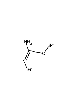 CC(C)N=C(N)OC(C)C